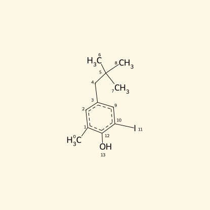 Cc1cc(CC(C)(C)C)cc(I)c1O